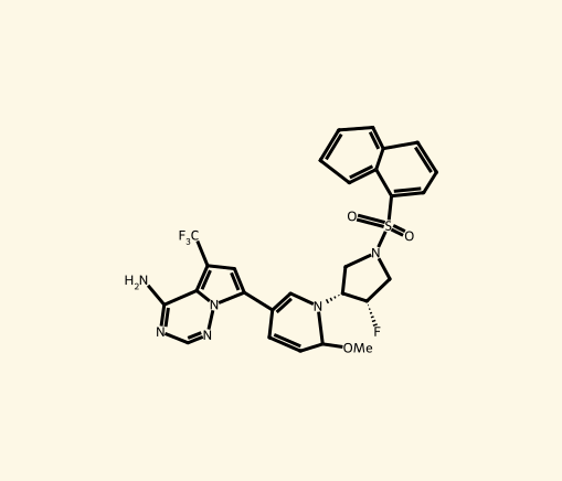 COC1C=CC(c2cc(C(F)(F)F)c3c(N)ncnn23)=CN1[C@@H]1CN(S(=O)(=O)c2cccc3ccccc23)C[C@@H]1F